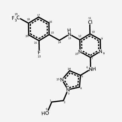 OCCn1cc(Nc2ncc(Cl)c(NCc3ccc(C(F)(F)F)cc3F)n2)cn1